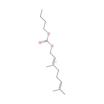 CCCCOC(=O)OC/C=C(\C)CCC=C(C)C